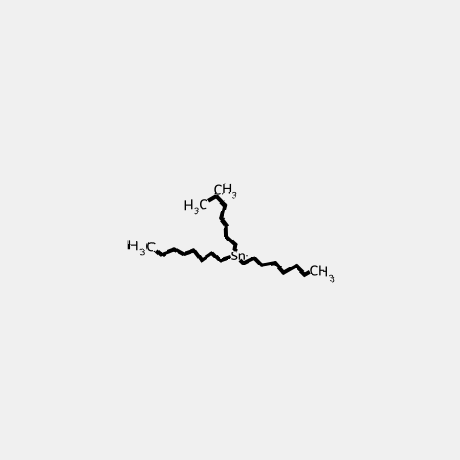 CCCCCCC[CH2][Sn]([CH2]CCCCCCC)[CH2]CCCCC(C)C